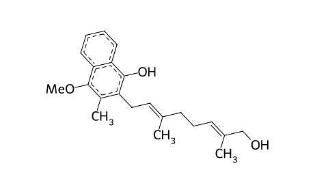 COc1c(C)c(C/C=C(\C)CC/C=C(\C)CO)c(O)c2ccccc12